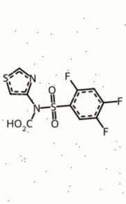 O=C(O)N(c1cscn1)S(=O)(=O)c1cc(F)c(F)cc1F